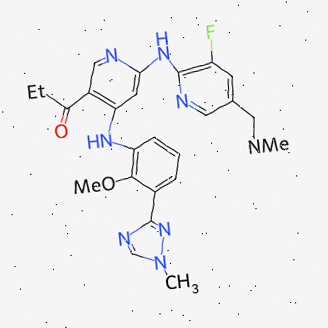 CCC(=O)c1cnc(Nc2ncc(CNC)cc2F)cc1Nc1cccc(-c2ncn(C)n2)c1OC